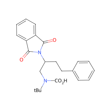 CC(C)(C)N(CC(CCc1ccccc1)N1C(=O)c2ccccc2C1=O)C(=O)O